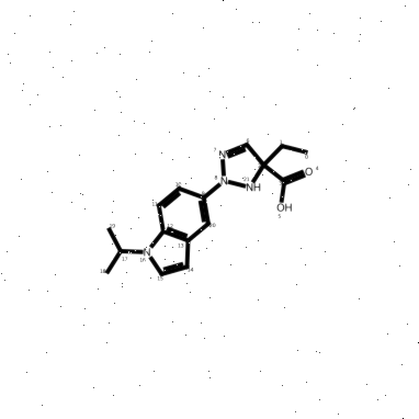 CCC1(C(=O)O)C=NN(c2ccc3c(ccn3C(C)C)c2)N1